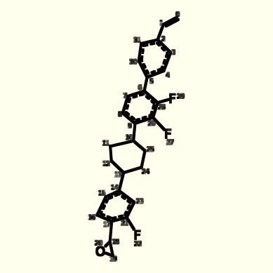 C=Cc1ccc(-c2ccc(C3CCC(c4ccc(C5CO5)c(F)c4)CC3)c(F)c2F)cc1